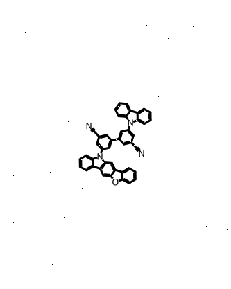 N#Cc1cc(-c2cc(C#N)cc(-n3c4ccccc4c4cc5oc6ccccc6c5cc43)c2)cc(-n2c3ccccc3c3ccccc32)c1